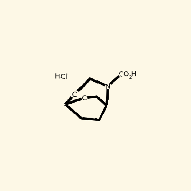 Cl.O=C(O)N1CCC2CCC1CC2